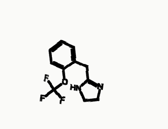 FC(F)(F)Oc1ccccc1CC1=NCCN1